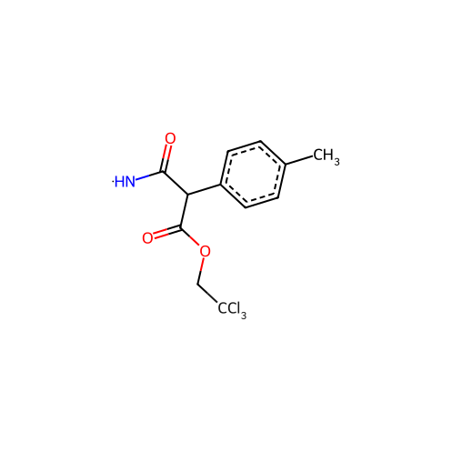 Cc1ccc(C(C([NH])=O)C(=O)OCC(Cl)(Cl)Cl)cc1